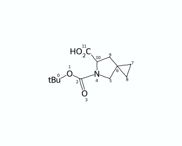 CC(C)(C)OC(=O)N1CC2(CC2)CC1C(=O)O